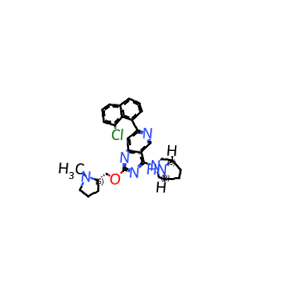 CN1CCC[C@H]1COc1nc(N2C[C@H]3CC[C@@H](C2)N3)c2cnc(-c3cccc4cccc(Cl)c34)cc2n1